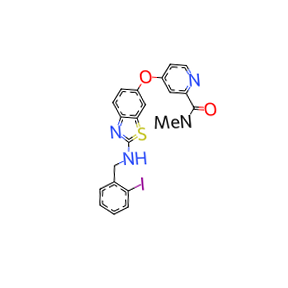 CNC(=O)c1cc(Oc2ccc3nc(NCc4ccccc4I)sc3c2)ccn1